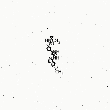 CCOc1cc2c(Nc3cc(C4CCC(OC(=O)NC5(C)CC5)C4)[nH]n3)nccn2n1